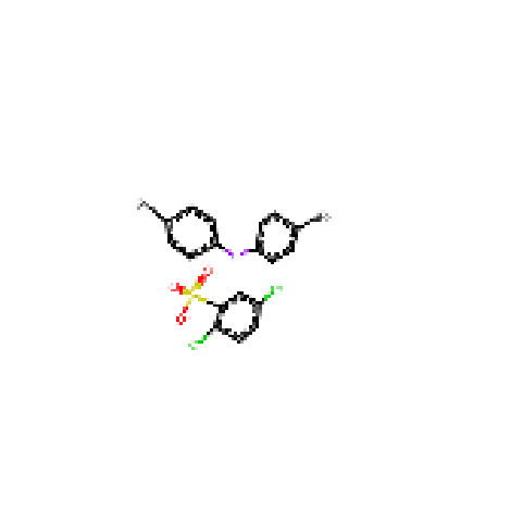 CC(C)c1ccc([I+]c2ccc(C(C)C)cc2)cc1.O=S(=O)([O-])c1cc(Cl)ccc1Cl